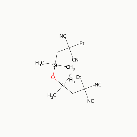 [C-]#[N+]C(CC)(C[Si](C)(C)O[Si](C)(C)CC(C#N)(C#N)CC)[N+]#[C-]